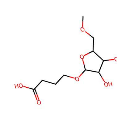 COCC1OC(OCCCC(=O)O)C(O)C1O